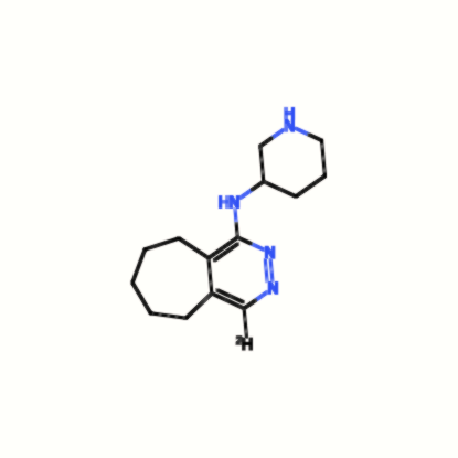 [2H]c1nnc(NC2CCCNC2)c2c1CCCCC2